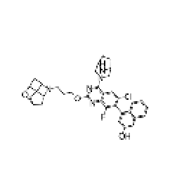 Oc1cc(-c2c(Cl)cc3c(N4CC5CCC(C4)N5)nc(OCCCN4C5CC6CC57C(CC47)O6)nc3c2F)c2ccccc2c1